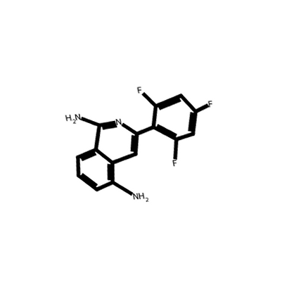 Nc1cccc2c(N)nc(-c3c(F)cc(F)cc3F)cc12